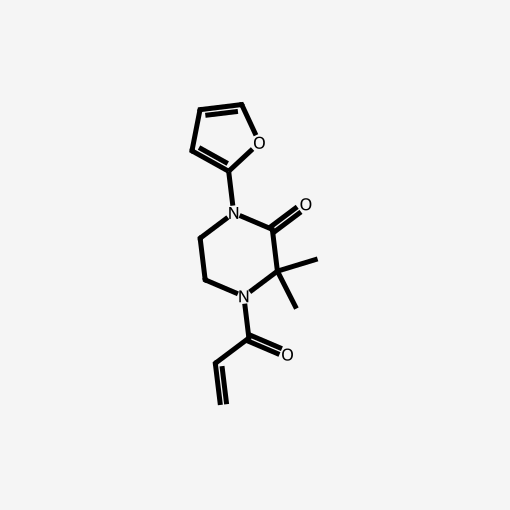 C=CC(=O)N1CCN(c2ccco2)C(=O)C1(C)C